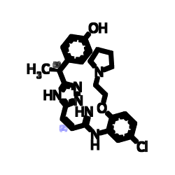 C[C@@H](c1ccc(O)cc1)c1nnc(/C=C\C(=N)Nc2cc(Cl)ccc2OCCN2CCCC2)[nH]1